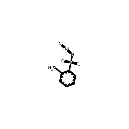 [N-]=[N+]=NS(=O)(=O)c1ccccc1[SiH3]